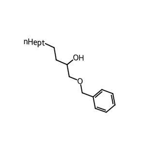 CCCCCCCCCC(O)COCc1ccccc1